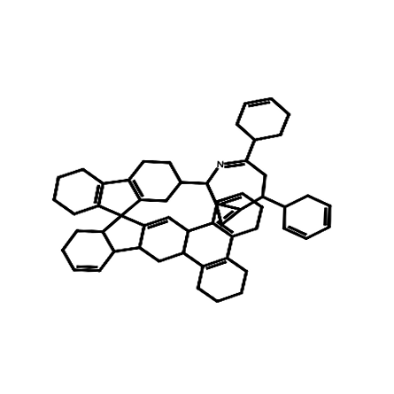 C1=CCC(C2CC(C3CC=CCC3)=NC(C3CCC4=C(C3)C3(C5=CC6C7=C(CCC=C7)C7=C(CCCC7)C6CC5C5C=CCCC53)C3=C4CCCC3)C3C=C32)C=C1